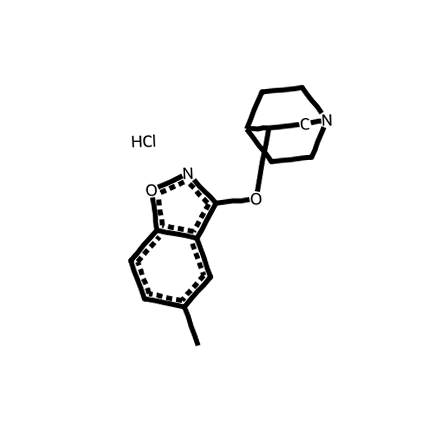 Cc1ccc2onc(OC3CN4CCC3CC4)c2c1.Cl